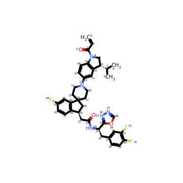 C=CC(=O)N1C[C@H](C(C)C)c2cc(N3CCC4(CC3)C[C@@H](CC(=O)N[C@H](Cc3ccc(F)c(F)c3)c3nnco3)c3ccc(F)cc34)ccc21